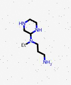 CCN(CCCN)C1CNCCN1